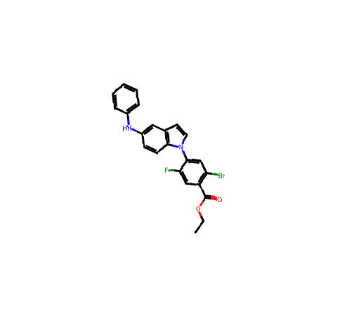 CCOC(=O)c1cc(F)c(-n2ccc3cc(Nc4ccccc4)ccc32)cc1Br